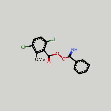 COc1c(Cl)ccc(Cl)c1C(=O)OOC(=N)c1ccccc1